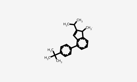 [CH2]C1C(C(C)C)=Cc2c(-c3ccc(C(C)(C)C)cc3)cccc21